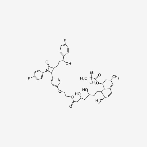 CCC(C)(C)C(=O)OC1CC(C)C=C2C=CC(C)C(CCC(O)CC(O)CC(=O)OCCOc3ccc(C4C(CCC(O)c5ccc(F)cc5)C(=O)N4c4ccc(F)cc4)cc3)C21